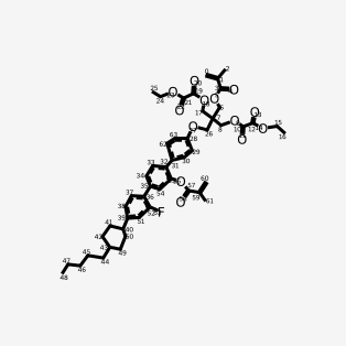 C=C(C)C(=O)OCC(COC(=O)C(=O)OCC)(COC(=O)C(=O)OCC)COc1ccc(-c2ccc(-c3ccc(C4CCC(CCCCC)CC4)cc3F)cc2OC(=O)C(=C)C)cc1